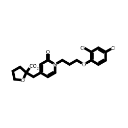 O=C(O)C1(Cc2ccn(CCCOc3ccc(Cl)cc3Cl)c(=O)c2)CCCO1